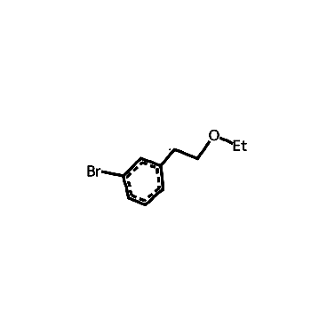 CCOC[CH]c1cccc(Br)c1